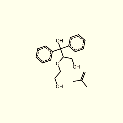 C=C(C)C.OCCOC(CO)C(O)(c1ccccc1)c1ccccc1